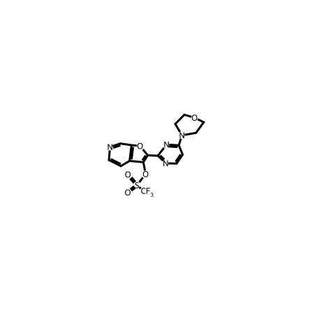 O=S(=O)(Oc1c(-c2nccc(N3CCOCC3)n2)oc2cnccc12)C(F)(F)F